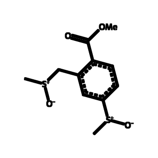 COC(=O)c1ccc([S+](C)[O-])cc1C[S+](C)[O-]